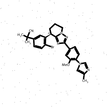 COc1cc(-c2nc3n(n2)CCC[C@@H]3c2cc(C(C)(C)C#N)ccc2Br)ccc1-n1cnc(C)c1